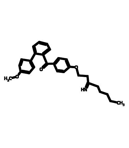 CCCCCC(=N)CCOc1ccc(C(=O)c2ccccc2-c2ccc(OC)cc2)cc1